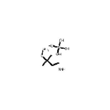 CCC(C)(C)O[SiH3].O[Si](O)(O)O.[NaH]